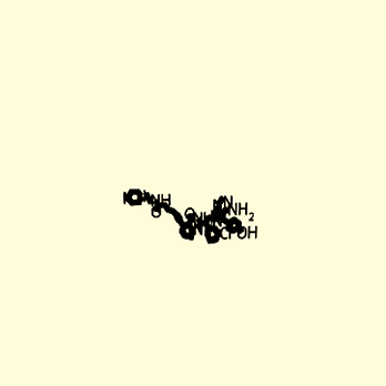 CN1CCN(CCNC(=O)CCCC#Cc2cccc3nc(C(Cn4nc(-c5ccc(O)cc5)c5c(N)ncnc54)c4cccc(Cl)c4)[nH]c(=O)c23)CC1